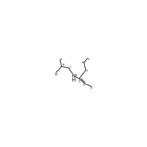 C/C=C(\CCC)NCC(C)C